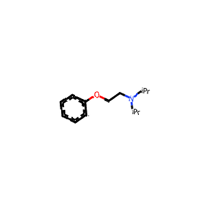 CC(C)N(CCOc1[c]cccc1)C(C)C